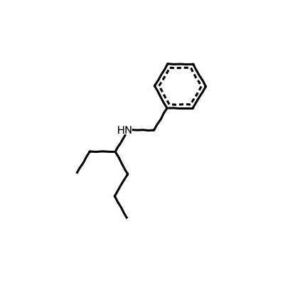 CCCC(CC)NCc1ccccc1